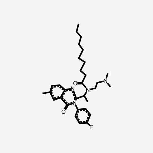 CCCCCCCCCC(=O)N(CCN(C)C)C(C)c1nc2ccc(C)cc2c(=O)n1-c1ccc(F)cc1